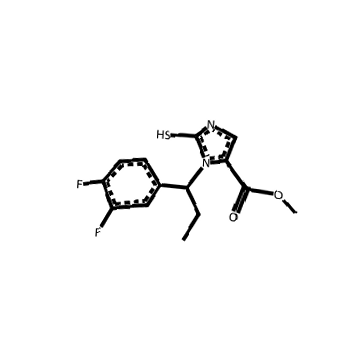 CCC(c1ccc(F)c(F)c1)n1c(C(=O)OC)cnc1S